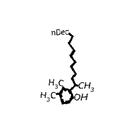 CCCCCCCCCCCCCCCCCCC(C)c1c(O)ccc(C)c1C